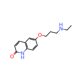 CCNCCCOc1ccc2[nH]c(=O)ccc2c1